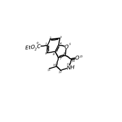 CCOC(=O)c1ccc2oc3c(c2c1)C(C)CNC3=O